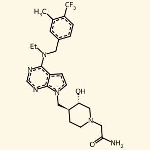 CCN(Cc1ccc(C(F)(F)F)c(C)c1)c1ncnc2c1ccn2C[C@@H]1CCN(CC(N)=O)C[C@H]1O